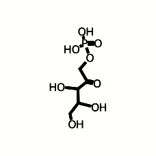 O=C(COP(=O)(O)O)C(O)C(O)CO